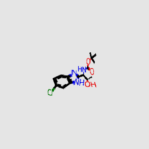 C[C@@H](O)[C@H](NC(=O)OC(C)(C)C)c1nc2ccc(Cl)cc2[nH]1